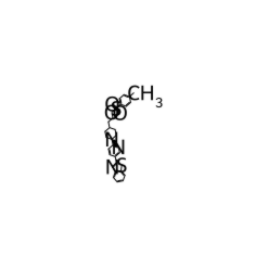 Cc1ccc(S(=O)(=O)OCCC2CCN(c3ccc(-c4nc5ccccc5s4)cn3)CC2)cc1